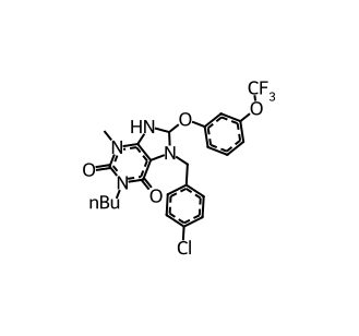 CCCCn1c(=O)c2c(n(C)c1=O)NC(Oc1cccc(OC(F)(F)F)c1)N2Cc1ccc(Cl)cc1